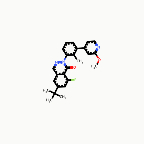 COc1cc(-c2cccc(-n3ncc4cc(C(C)(C)C)cc(F)c4c3=O)c2C)ccn1